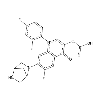 O=C(O)Oc1cn(-c2ccc(F)cc2F)c2cc(N3CC4CC3CN4)c(F)cc2c1=O